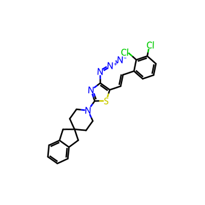 [N-]=[N+]=Nc1nc(N2CCC3(CC2)Cc2ccccc2C3)sc1/C=C/c1cccc(Cl)c1Cl